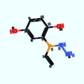 C=CP(NN)c1cc(O)ccc1O